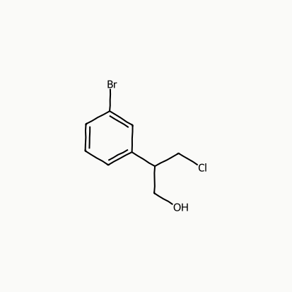 OCC(CCl)c1cccc(Br)c1